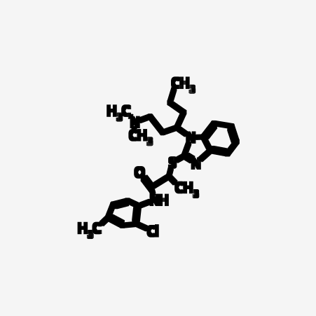 CCCC(CCN(C)C)n1c(SC(C)C(=O)Nc2ccc(C)cc2Cl)nc2ccccc21